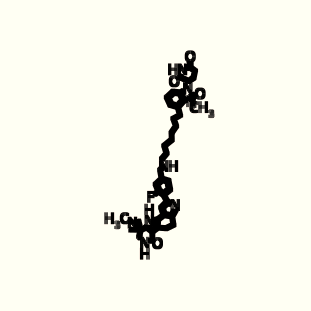 CN1CC2(CNC(=O)c3c2[nH]c2c3CCc3cnc(-c4ccc(CNCCCCCCCCc5cccc6c5n(C)c(=O)n6C5CCC(=O)NC5=O)cc4F)cc3-2)C1